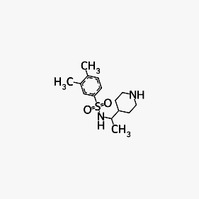 Cc1ccc(S(=O)(=O)NC(C)C2CCNCC2)cc1C